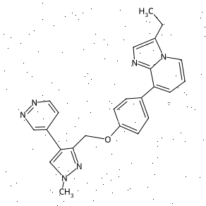 CCc1cnc2c(-c3ccc(OCc4nn(C)cc4-c4ccnnc4)cc3)cccn12